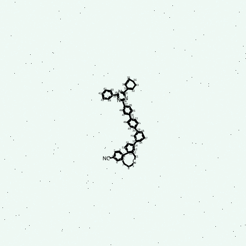 N#Cc1ccc2c(c1)CCCCCc1cc(-c3cccc(-c4ccc(-c5ccc(-c6nc(C7=CCCC=C7)nc(-c7ccccc7)n6)cc5)cc4)c3)ccc1-2